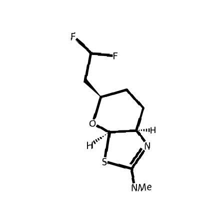 CNC1=N[C@@H]2CC[C@H](CC(F)F)O[C@@H]2S1